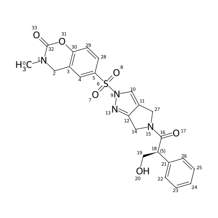 CN1Cc2cc(S(=O)(=O)n3cc4c(n3)CN(C(=O)[C@H](CO)c3ccccc3)C4)ccc2OC1=O